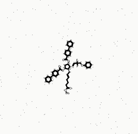 CC(C)OC(=O)CCCC=CC[C@@H]1[C@@H](C=CC(F)(F)COc2ccccc2)[C@H](OC(=O)c2ccc(-c3ccccc3)cc2)C[C@@H]1OC(=O)c1ccc(-c2ccccc2)cc1